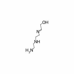 NCCNCCN=CCO